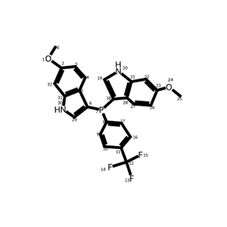 COc1ccc2c(P(c3ccc(C(F)(F)F)cc3)c3c[nH]c4cc(OC)ccc34)c[nH]c2c1